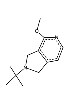 COc1nccc2c1CN(C(C)(C)C)C2